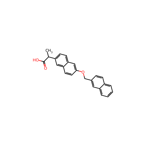 CC(C(=O)O)c1ccc2cc(OCc3ccc4ccccc4c3)ccc2c1